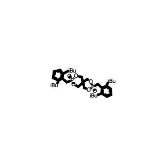 CCC(C)c1cccc(C(C)CC)c1CP1(=O)OCC2(CO1)COP(=O)(Cc1c(C(C)CC)cccc1C(C)CC)OC2